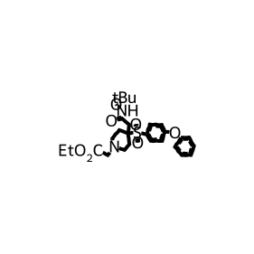 CCOC(=O)CN1CCC(CC(=O)NOC(C)(C)C)(S(=O)(=O)c2ccc(Oc3ccccc3)cc2)CC1